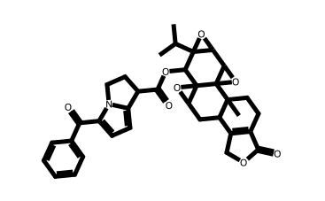 CC(C)C12OC1C1OC13C1(C)CCC4=C(COC4=O)C1CC1OC13C2OC(=O)C1CCn2c(C(=O)c3ccccc3)ccc21